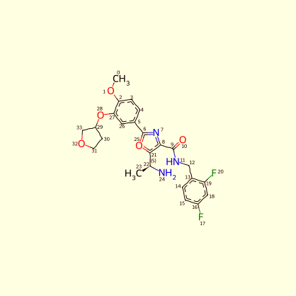 COc1ccc(-c2nc(C(=O)NCc3ccc(F)cc3F)c([C@H](C)N)o2)cc1OC1CCOC1